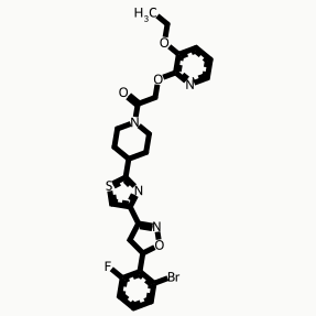 CCOc1cccnc1OCC(=O)N1CCC(c2nc(C3=NOC(c4c(F)cccc4Br)C3)cs2)CC1